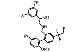 COc1ccc(C(C)C)cc1-c1ccc(C(F)(F)CF)cc1CNCC(O)c1cc(C(F)(F)F)cc(C(F)(F)F)c1